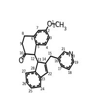 COc1ccc2c(c1)CCC(=O)C2C1C(Cc2cccnc2)=Cc2ccccc21